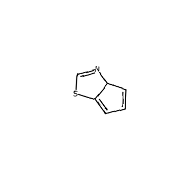 C1=CC2N=CSC2=C1